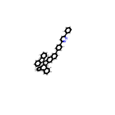 c1ccc(-c2ccc(-c3ccc(-c4ccc5cc6c(cc5c4)C4(c5ccccc5-c5ccccc54)c4c-6c5ccccc5c5ccccc45)cc3)nn2)cc1